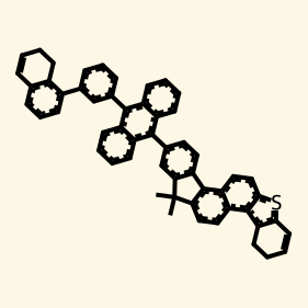 CC1(C)c2cc(-c3c4ccccc4c(-c4cccc(-c5cccc6c5CCC=C6)c4)c4ccccc34)ccc2-c2c1ccc1c2ccc2sc3c(c21)CCC=C3